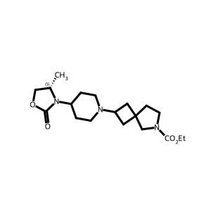 CCOC(=O)N1CCC2(CC(N3CCC(N4C(=O)OC[C@@H]4C)CC3)C2)C1